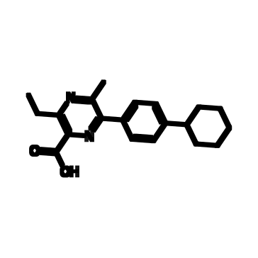 CCc1nc(C)c(-c2ccc(C3CCCCC3)cc2)nc1C(=O)O